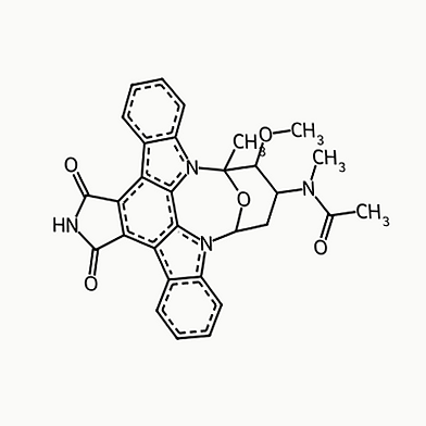 COC1C(N(C)C(C)=O)CC2OC1(C)n1c3ccccc3c3c4c(c5c6ccccc6n2c5c31)C(=O)NC4=O